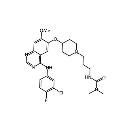 COc1cc2ncnc(Nc3ccc(F)c(Cl)c3)c2cc1OC1CCN(CCCNC(=O)N(C)C)CC1